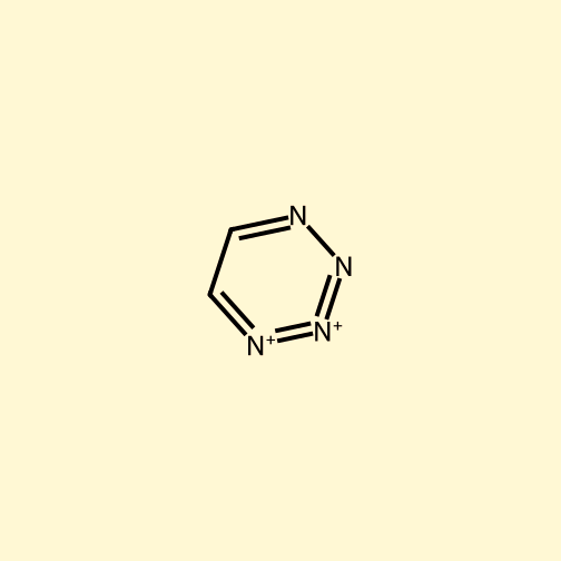 C1=NN=[N+]=[N+]=C1